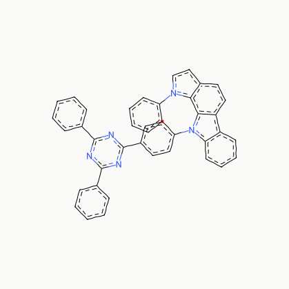 c1ccc(-c2nc(-c3ccccc3)nc(-c3ccc(-n4c5ccccc5c5ccc6ccn(-c7ccccc7)c6c54)cc3)n2)cc1